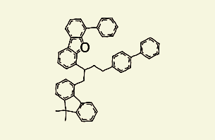 CC1(C)c2ccccc2-c2c(CC(CCc3ccc(-c4ccccc4)cc3)c3cccc4c3oc3c(-c5ccccc5)cccc34)cccc21